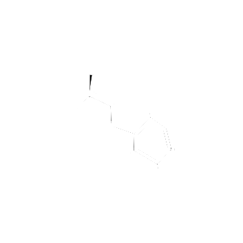 C[C@H](O)COc1cc[c]cc1